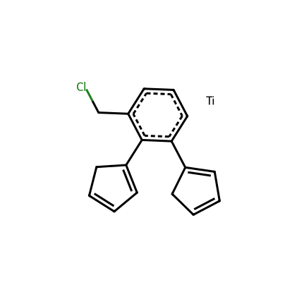 ClCc1cccc(C2=CC=CC2)c1C1=CC=CC1.[Ti]